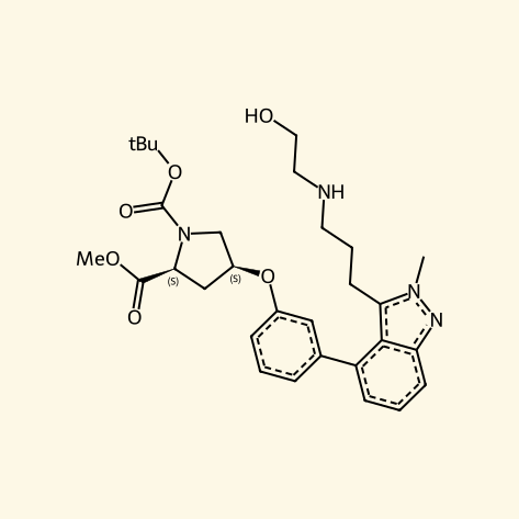 COC(=O)[C@@H]1C[C@H](Oc2cccc(-c3cccc4nn(C)c(CCCNCCO)c34)c2)CN1C(=O)OC(C)(C)C